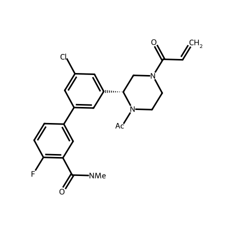 C=CC(=O)N1CCN(C(C)=O)[C@H](c2cc(Cl)cc(-c3ccc(F)c(C(=O)NC)c3)c2)C1